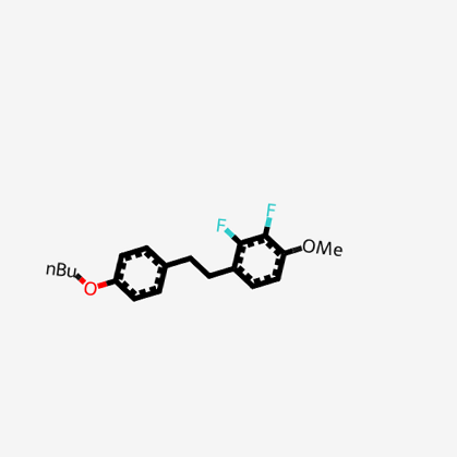 CCCCOc1ccc(CCc2ccc(OC)c(F)c2F)cc1